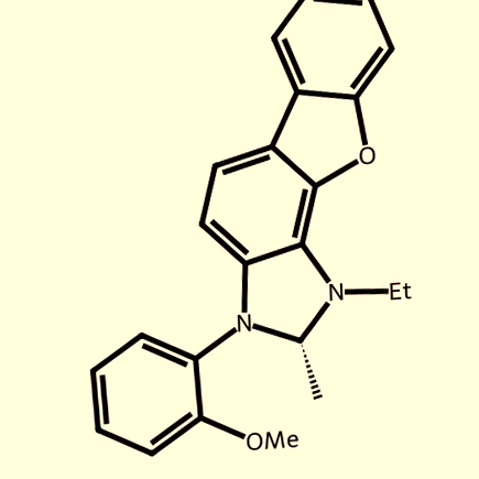 CCN1c2c(ccc3c2oc2ccccc23)N(c2ccccc2OC)[C@H]1C